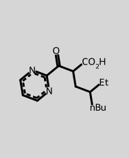 CCCCC(CC)CC(C(=O)O)C(=O)c1ncccn1